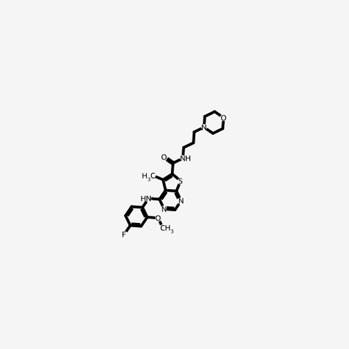 COc1cc(F)ccc1Nc1ncnc2sc(C(=O)NCCCN3CCOCC3)c(C)c12